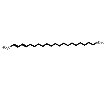 CCCCCCCCCCCCCCCCCCCCCCCCCCC=CC=CC(=O)O